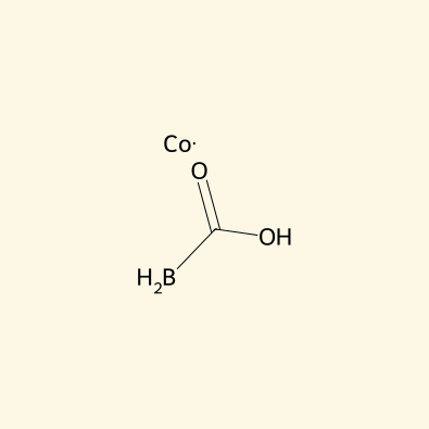 BC(=O)O.[Co]